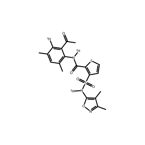 [2H]c1c(C)cc(C)c(N([2H])C(=O)c2sccc2S(=O)(=O)N([2H])c2onc(C)c2C)c1C(C)=O